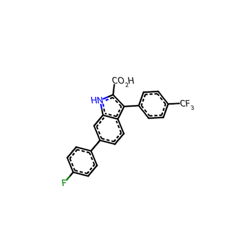 O=C(O)c1[nH]c2cc(-c3ccc(F)cc3)ccc2c1-c1ccc(C(F)(F)F)cc1